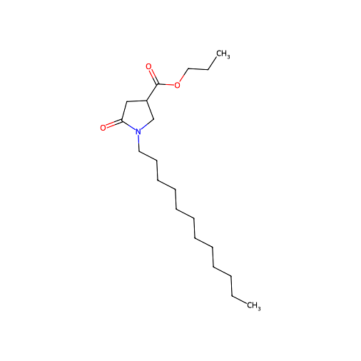 CCCCCCCCCCCCN1CC(C(=O)OCCC)CC1=O